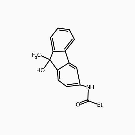 CCC(=O)Nc1ccc2c(c1)-c1ccccc1C2(O)C(F)(F)F